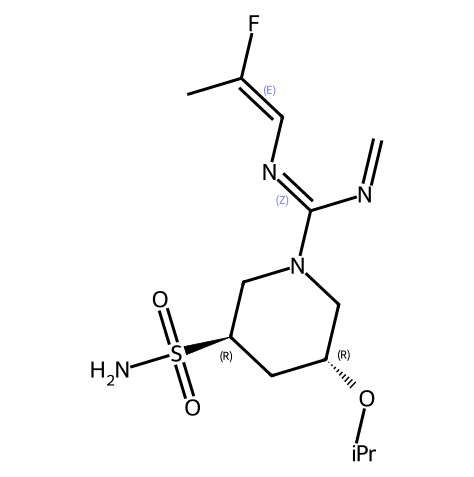 C=N/C(=N\C=C(/C)F)N1C[C@H](OC(C)C)C[C@@H](S(N)(=O)=O)C1